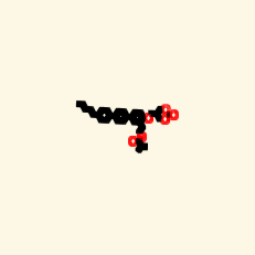 C=C(C)C(=O)OCCc1cc(-c2ccc(C3CCC(CCCCC)CC3)cc2)ccc1OCC1COC(=O)OC1